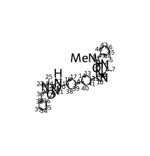 CN[C@@H](C(=O)N(C)[C@@H](C)c1ncc(-c2ccc(-c3ccc(-c4cnc([C@H](C)N(C)C(=O)Cc5ccccc5)[nH]4)cc3)cc2)[nH]1)c1ccccc1